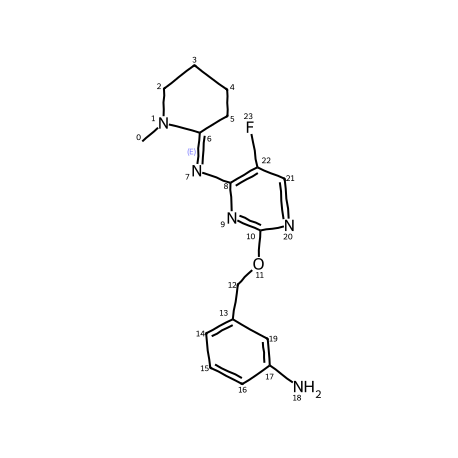 CN1CCCC/C1=N\c1nc(OCc2cccc(N)c2)ncc1F